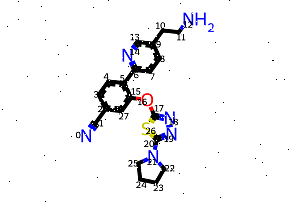 N#Cc1ccc(-c2ccc(CCN)cn2)c(Oc2nnc(N3CCCC3)s2)c1